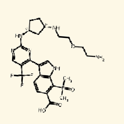 CP(C)(=O)c1c(C(=O)O)ccc2c(-c3nc(N[C@H]4CC[C@H](NCCOCCN)C4)ncc3C(F)(F)F)c[nH]c12